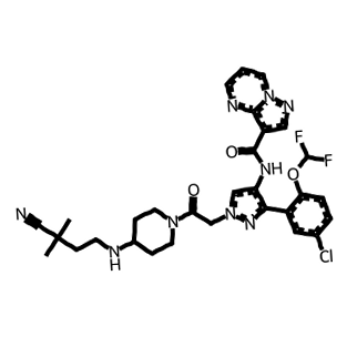 CC(C)(C#N)CCNC1CCN(C(=O)Cn2cc(NC(=O)c3cnn4cccnc34)c(-c3cc(Cl)ccc3OC(F)F)n2)CC1